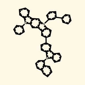 c1ccc(-c2cccc(-n3c4ccc(-c5ccc6c(c5)c5ccccc5n6-c5cccc6ccccc56)cc4c4cc5c(cc43)c3ccccc3n5-c3ccccc3)c2)cc1